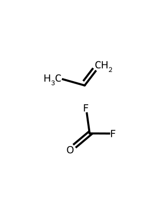 C=CC.O=C(F)F